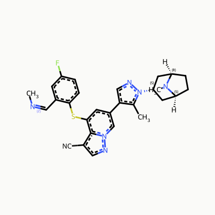 C/N=C\c1cc(F)ccc1Sc1cc(-c2cnn([C@@H]3C[C@H]4CC[C@@H](C3)N4C)c2C)cn2ncc(C#N)c12